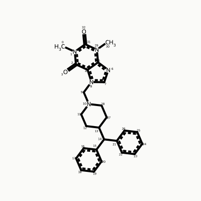 Cn1c(=O)c2c(ncn2CN2CCC(C(c3ccccc3)c3ccccc3)CC2)n(C)c1=O